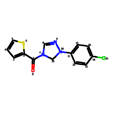 O=C(c1cccs1)N1C=NN(c2ccc(Cl)cc2)C1